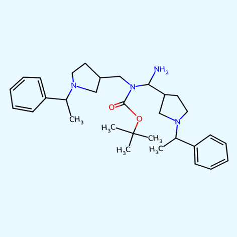 CC(c1ccccc1)N1CCC(CN(C(=O)OC(C)(C)C)C(N)C2CCN(C(C)c3ccccc3)C2)C1